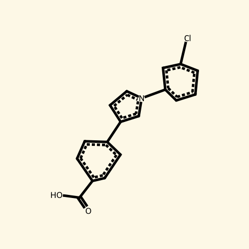 O=C(O)c1ccc(-c2ccn(-c3cccc(Cl)c3)c2)cc1